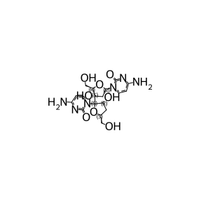 Nc1ccn([C@H]2C[C@@](O)([C@@]3(n4ccc(N)nc4=O)O[C@H](CO)C[C@H]3O)[C@@H](CO)O2)c(=O)n1